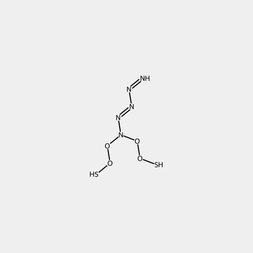 N=N/N=N/N(OOS)OOS